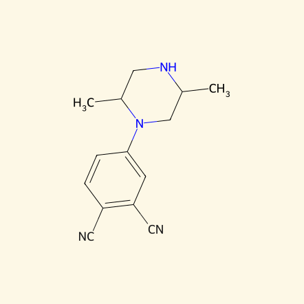 CC1CN(c2ccc(C#N)c(C#N)c2)C(C)CN1